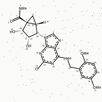 CNC(=O)[C@@]12C[C@@H]1[C@H](n1cnc3c(NCc4cc(OC)ccc4OC)nc(Cl)nc31)[C@H](O)[C@@H]2O